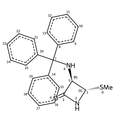 CS[C@@H]1NC(=O)[C@H]1NC(c1ccccc1)(c1ccccc1)c1ccccc1